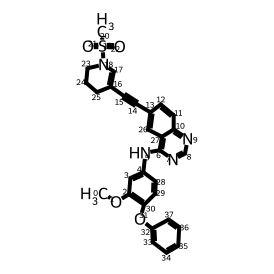 COc1cc(Nc2ncnc3ccc(C#CC4=CN(S(C)(=O)=O)CCC4)cc23)ccc1Oc1ccccc1